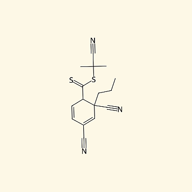 CCCC1(C#N)C=C(C#N)C=CC1C(=S)SC(C)(C)C#N